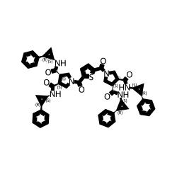 O=C(N[C@H]1C[C@@H]1c1ccccc1)[C@@H]1CN(C(=O)c2ccc(C(=O)N3C[C@@H](C(=O)N[C@H]4C[C@@H]4c4ccccc4)[C@H](C(=O)N[C@H]4C[C@@H]4c4ccccc4)C3)s2)C[C@H]1C(=O)N[C@H]1C[C@@H]1c1ccccc1